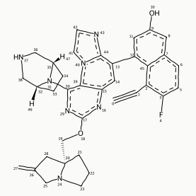 C#Cc1c(F)ccc2cc(O)cc(-c3cc4nc(OC[C@]56CCCN5CC(=C)C6)nc(N5[C@@H]6CC[C@H]5CNC6)c4n4ccnc34)c12